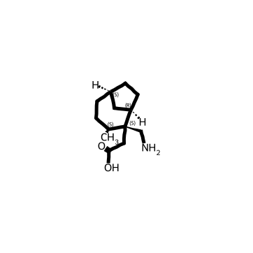 C[C@H]1CC[C@H]2CC[C@H](C2)[C@]1(CN)CC(=O)O